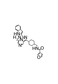 N[N+]12C=CN=CC1=C(C1CCC(CNC(=O)c3ccoc3)CC1)N=C2c1cc2ccccc2[nH]1